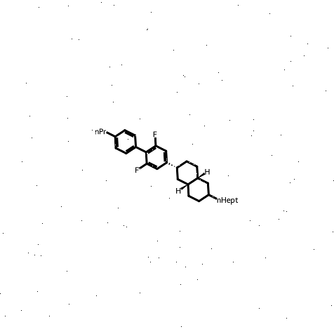 CCCCCCCC1CC[C@@H]2C[C@H](c3cc(F)c(-c4ccc(CCC)cc4)c(F)c3)CC[C@@H]2C1